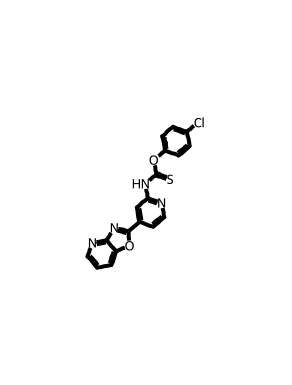 S=C(Nc1cc(-c2nc3ncccc3o2)ccn1)Oc1ccc(Cl)cc1